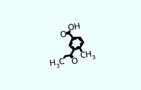 CCC(=O)c1cc(C(=O)O)ccc1C